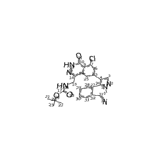 Cn1ncc(-c2cc(Cl)c3c(=O)[nH]nc(CNC(=O)OC(C)(C)C)c3c2)c1-c1ccccc1C#N